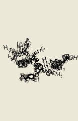 CCOC(=O)COC(=O)c1cc(Oc2ccc(C(F)(F)F)cc2Cl)ccc1[N+](=O)[O-].CCS(=O)(=O)c1cccnc1S(=O)(=O)NC(=O)Nc1nc(OC)cc(OC)n1.COc1nc(C)nc(NC(=O)NS(=O)(=O)c2ccccc2CCC(F)(F)F)n1.C[S+](C)C.O=C(O)CNCP(=O)([O-])O